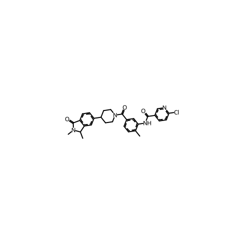 Cc1ccc(C(=O)N2CCC(c3ccc4c(c3)C(C)N(C)C4=O)CC2)cc1NC(=O)c1ccc(Cl)nc1